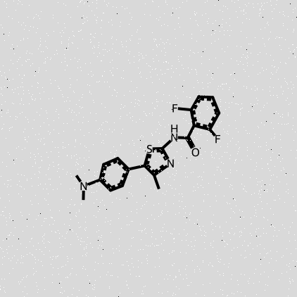 Cc1nc(NC(=O)c2c(F)cccc2F)sc1-c1ccc(N(C)C)cc1